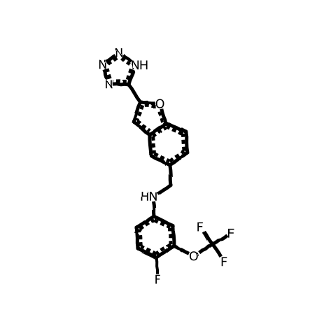 Fc1ccc(NCc2ccc3oc(-c4nnn[nH]4)cc3c2)cc1OC(F)(F)F